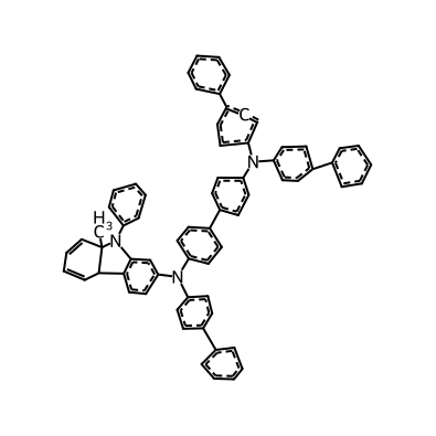 CC12C=CC=CC1c1ccc(N(c3ccc(-c4ccccc4)cc3)c3ccc(-c4ccc(N(c5ccc(-c6ccccc6)cc5)c5ccc(-c6ccccc6)cc5)cc4)cc3)cc1N2c1ccccc1